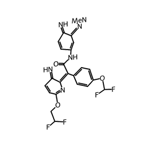 CN/N=C1/C=C(NC(=O)/C(=C2/N=C(OCC(F)F)C=CC2=N)c2ccc(OC(F)F)cc2)C=CC1=N